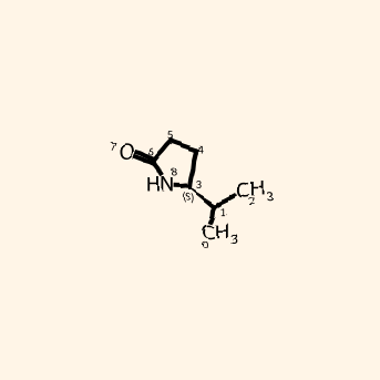 CC(C)[C@@H]1CCC(=O)N1